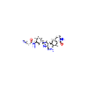 N#CCC(=O)Nc1cccc(-n2cc(-c3ccc4c(c3)CCNC4=O)c(N)n2)c1